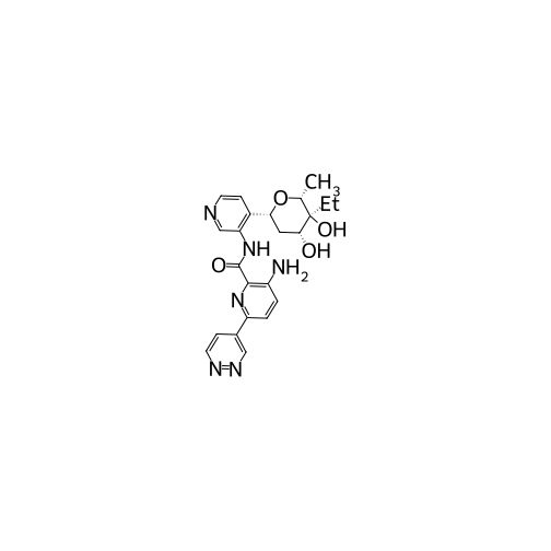 CC[C@]1(O)[C@H](O)C[C@H](c2ccncc2NC(=O)c2nc(-c3ccnnc3)ccc2N)O[C@@H]1C